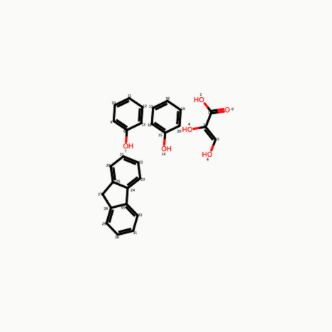 O=C(O)C(O)=CO.Oc1ccccc1.Oc1ccccc1.c1ccc2c(c1)Cc1ccccc1-2